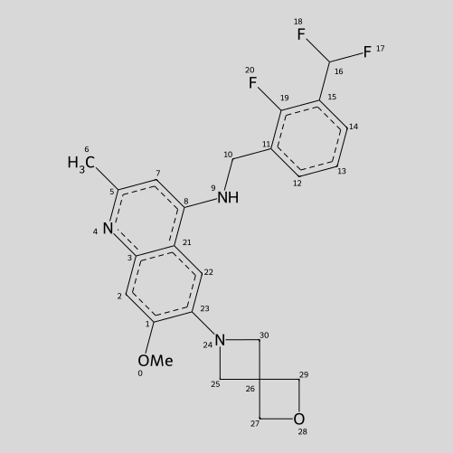 COc1cc2nc(C)cc(NCc3cccc(C(F)F)c3F)c2cc1N1CC2(COC2)C1